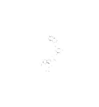 O=C(O)c1ccc2nc(CN3CCC(c4cccc(OCc5ccc6nccnc6c5)n4)CC3)n(CC3CCO3)c2c1